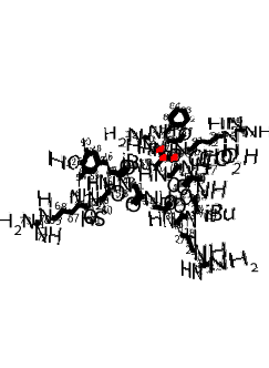 CC[C@H](C)[C@H](NC(=O)[C@H](CCCNC(=N)N)NC(=O)[C@H](CC(=O)O)NC(=O)[C@@H](NC(=O)[C@H](CCCNC(=N)N)NC(=O)CNC(=O)CNC(=O)[C@H](Cc1cc(I)c(O)c(I)c1)NC(=O)[C@H](CS)NC(=O)[C@@H](N)CCCNC(=N)N)[C@@H](C)CC)C(=O)N[C@@H](Cc1ccccc1)C(=O)N[C@H]([C]=O)CCCNC(=N)N